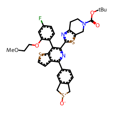 COCCOc1cc(F)ccc1-c1c(-c2nc3c(s2)CN(C(=O)OC(C)(C)C)CC3)nc(-c2ccc3c(c2)C[S+]([O-])C3)c2ccsc12